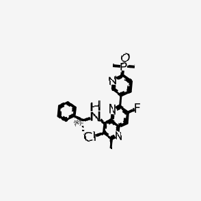 Cc1nc2cc(F)c(-c3ccc(P(C)(C)=O)nc3)nc2c(N[C@H](C)c2ccccc2)c1Cl